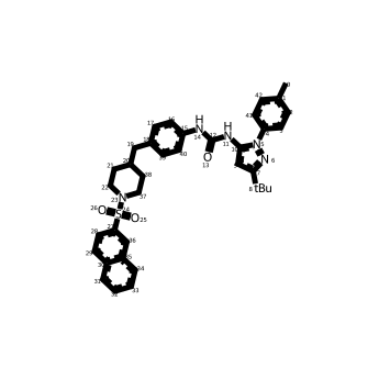 Cc1ccc(-n2nc(C(C)(C)C)cc2NC(=O)Nc2ccc(CC3CCN(S(=O)(=O)c4ccc5ccccc5c4)CC3)cc2)cc1